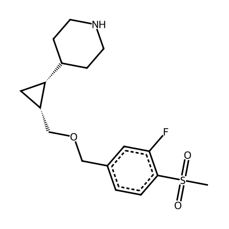 CS(=O)(=O)c1ccc(COC[C@@H]2C[C@@H]2C2CCNCC2)cc1F